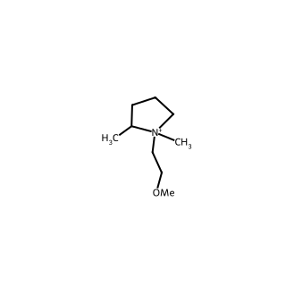 COCC[N+]1(C)CCCC1C